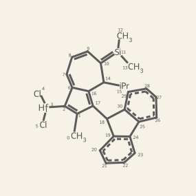 CC1=[C]([Hf]([Cl])[Cl])C2=CC=CC(=[Si](C)C)C(C(C)C)C2=C1C1c2ccccc2-c2ccccc21